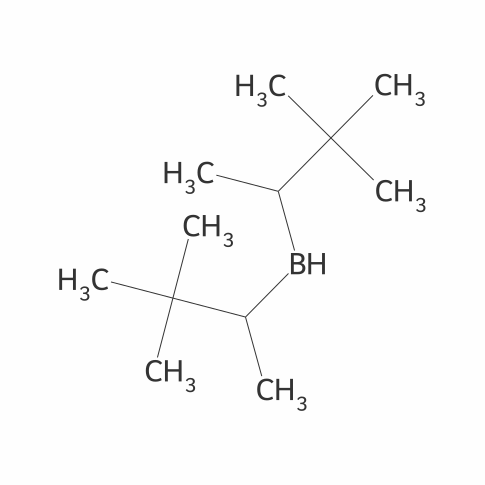 CC(BC(C)C(C)(C)C)C(C)(C)C